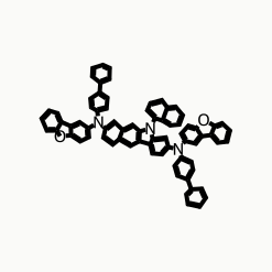 c1ccc(-c2ccc(N(c3ccc4cc5c6ccc(N(c7ccc(-c8ccccc8)cc7)c7ccc8oc9ccccc9c8c7)cc6n(-c6cccc7ccccc67)c5cc4c3)c3ccc4oc5ccccc5c4c3)cc2)cc1